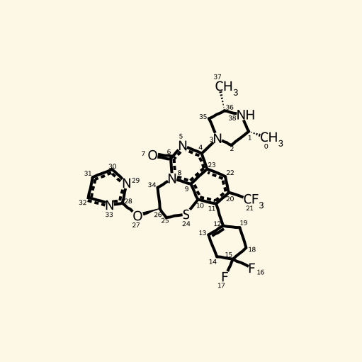 C[C@@H]1CN(c2nc(=O)n3c4c(c(C5=CCC(F)(F)CC5)c(C(F)(F)F)cc24)SC[C@@H](Oc2ncccn2)C3)C[C@H](C)N1